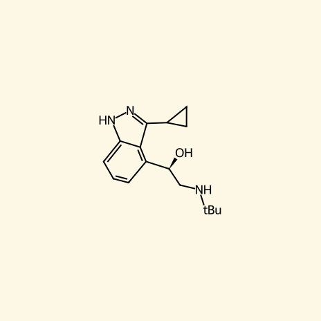 CC(C)(C)NC[C@H](O)c1cccc2[nH]nc(C3CC3)c12